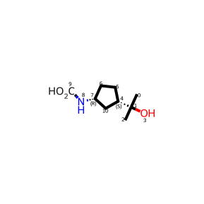 CC(C)(O)[C@H]1CC[C@@H](NC(=O)O)C1